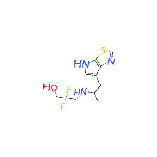 CC(Cc1c[nH]c2scnc12)NCC(F)(F)CO